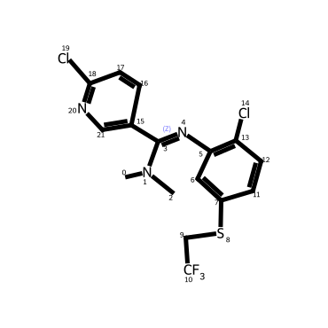 CN(C)/C(=N\c1cc(SCC(F)(F)F)ccc1Cl)c1ccc(Cl)nc1